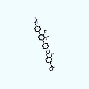 C/C=C/c1ccc(-c2ccc(-c3ccc(OCc4ccc(C5CO5)cc4F)cc3)c(F)c2F)cc1